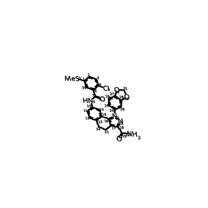 CSc1ccc(Cl)c(C(=O)Nc2ccc3c(c2)-c2c(c(C(N)=O)nn2-c2ccc4c(c2)OCO4)CC3)c1